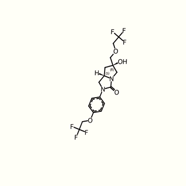 O=C1N(c2ccc(OCC(F)(F)F)cc2)C[C@@H]2C[C@](O)(COCC(F)(F)F)CN12